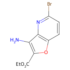 CCOC(=O)c1oc2ccc(Br)nc2c1N